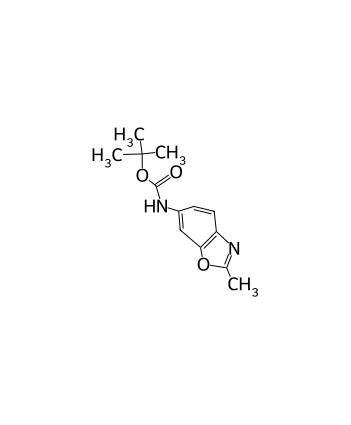 Cc1nc2ccc(NC(=O)OC(C)(C)C)cc2o1